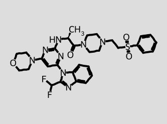 C[C@H](Nc1nc(N2CCOCC2)cc(-n2c(C(F)F)nc3ccccc32)n1)C(=O)N1CCN(CCS(=O)(=O)c2ccccc2)CC1